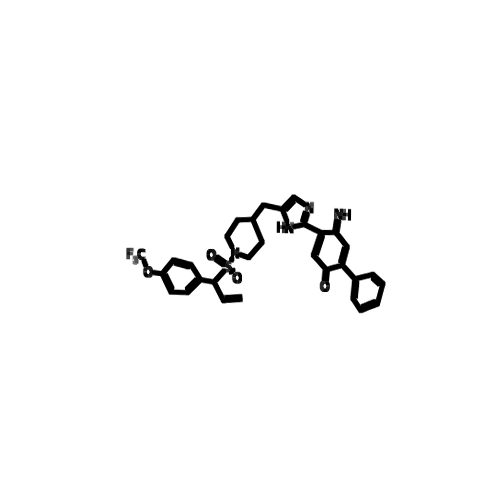 C=CC(c1ccc(OC(F)(F)F)cc1)S(=O)(=O)N1CCC(Cc2cnc(C3=CC(=O)C(c4ccccc4)=CC3=N)[nH]2)CC1